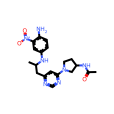 CC(=O)NC1CCN(c2cc(CC(C)Nc3ccc(N)c([N+](=O)[O-])c3)ncn2)C1